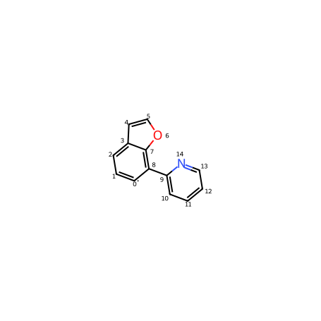 [c]1ccc2ccoc2c1-c1ccccn1